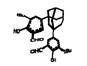 CC(C)(C)c1cc(C23CC4CC(C2)CC(c2cc(C=O)c(O)c(C(C)(C)C)c2)(C4)C3)cc(C=O)c1O